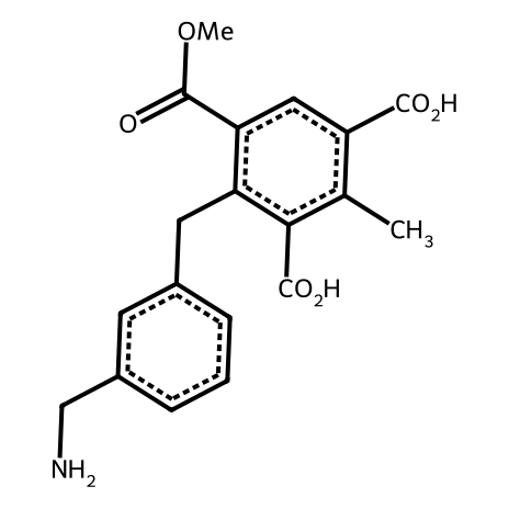 COC(=O)c1cc(C(=O)O)c(C)c(C(=O)O)c1Cc1cccc(CN)c1